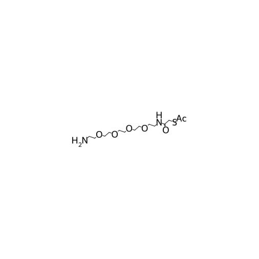 CC(=O)SCC(=O)NCCOCCOCCOCCOCCN